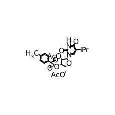 CC(=O)OC[C@H]1O[C@@H](n2cc(C(C)C)c(=O)[nH]c2=O)[C@H](OC(C)=O)[C@H]1OS(=O)(=O)c1ccc(C)cc1